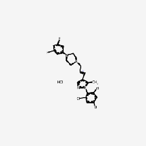 Cc1c(/C=C/CN2CCN(c3cc(F)cc(F)c3)CC2)cnn1-c1c(Cl)cc(Cl)cc1Cl.Cl